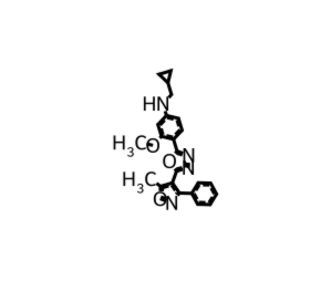 COc1cc(NCC2CC2)ccc1-c1nnc(-c2c(-c3ccccc3)noc2C)o1